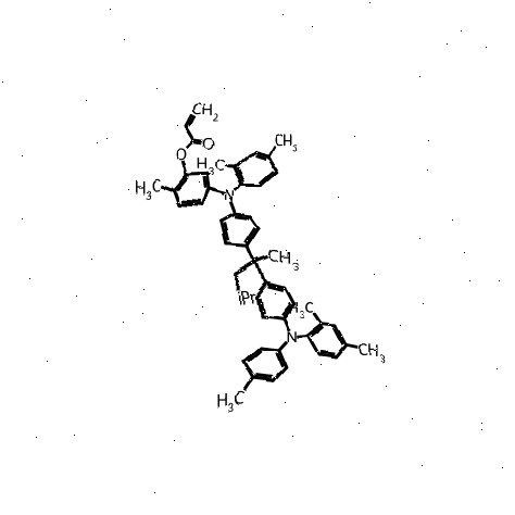 C=CC(=O)Oc1cc(N(c2ccc(C(C)(CC(C)C)c3ccc(N(c4ccc(C)cc4)c4ccc(C)cc4C)cc3)cc2)c2ccc(C)cc2C)ccc1C